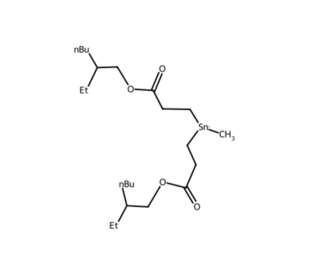 CCCCC(CC)COC(=O)C[CH2][Sn]([CH3])[CH2]CC(=O)OCC(CC)CCCC